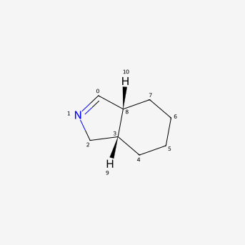 C1=NC[C@H]2CCCC[C@@H]12